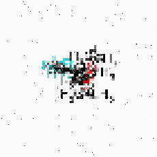 C=C[SiH](C)O[SiH2][Si](O[SiH3])([SiH2]O[SiH](C)C)C(C)(C)C(F)(F)C(F)(F)C(F)(F)C(F)(F)F